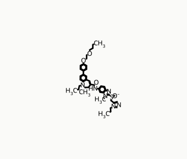 CCCCOCCOc1ccc(-c2ccc3c(c2)C=C(C(=O)Nc2ccc4nc([S+]([O-])Cc5cncn5CCC)n(C)c4c2)CCN3CC(C)C)cc1